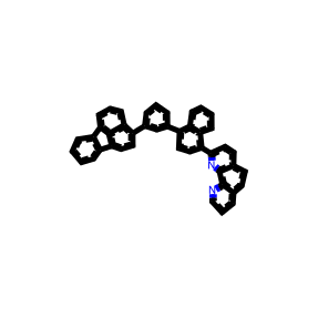 c1cc(-c2ccc(-c3ccc4ccc5cccnc5c4n3)c3ccccc23)cc(-c2ccc3c4c(cccc24)-c2ccccc2-3)c1